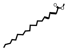 CCCCCCCCCCCCC/C=C/C=CC(=O)OC